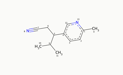 Cc1ccc(C(CC#N)C(C)C)cn1